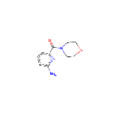 Nc1cccc(C(=O)N2CCOCC2)n1